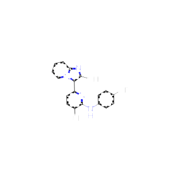 Cc1ccc(-c2c(C)nc3ccccn23)nc1Nc1ccc(C(F)(F)F)cc1